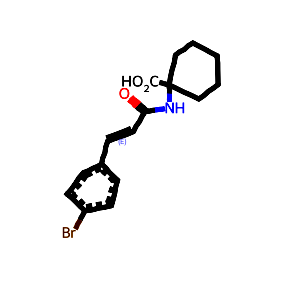 O=C(/C=C/c1ccc(Br)cc1)NC1(C(=O)O)CCCCC1